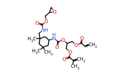 C=CC(=O)OCC(COC(=O)C(=C)C)OC(=O)NC1CC(C)(C)CC(C)(CNC(=O)OCC2CO2)C1